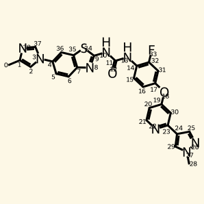 Cc1cn(-c2ccc3nc(NC(=O)Nc4ccc(Oc5ccnc(-c6cnn(C)c6)c5)cc4F)sc3c2)cn1